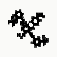 Nc1nc(NCc2ccccc2OC(F)(F)F)nc(C[C@H]2CC[C@H](N)CC2)c1C#Cc1cccc(C(F)(F)F)c1